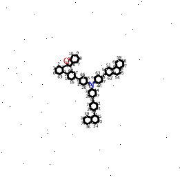 c1ccc(-c2cc3ccccc3o2)c(-c2ccc(-c3ccc(N(c4ccc(-c5ccc(-c6cccc7ccccc67)cc5)cc4)c4ccc(-c5ccc6c(ccc7ccccc76)c5)cc4)cc3)cc2)c1